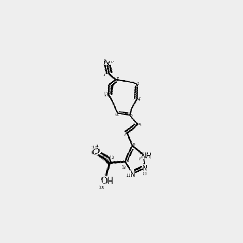 N#Cc1ccc(C=Cc2[nH]nnc2C(=O)O)cc1